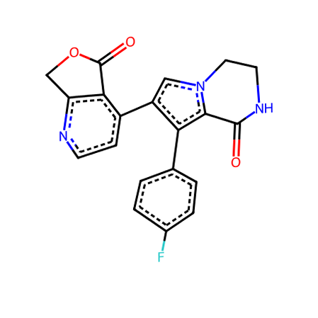 O=C1OCc2nccc(-c3cn4c(c3-c3ccc(F)cc3)C(=O)NCC4)c21